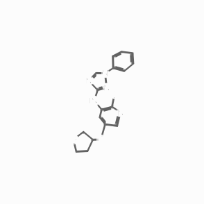 Cc1ncc(OC2CCOC2)cc1Nc1ncn(-c2ccccc2)n1